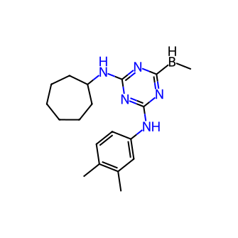 CBc1nc(Nc2ccc(C)c(C)c2)nc(NC2CCCCCC2)n1